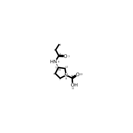 CCC(=O)N[C@H]1CCN(C(=O)O)C1